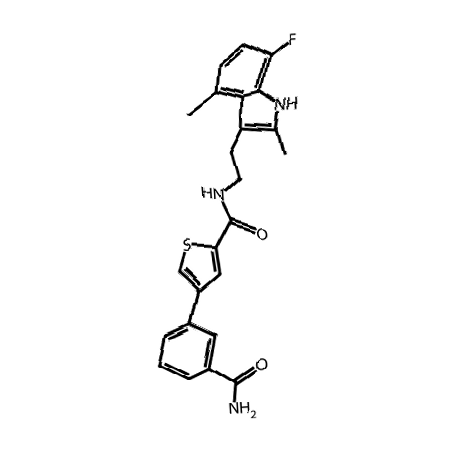 Cc1[nH]c2c(F)ccc(C)c2c1CCNC(=O)c1cc(-c2cccc(C(N)=O)c2)cs1